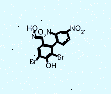 O=[N+]([O-])c1ccc(-c2c(C=NO)cc(Br)c(O)c2Br)c([N+](=O)[O-])c1